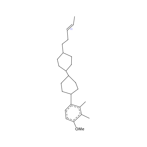 C/C=C/CCC1CCC(C2CCC(c3ccc(OC)c(C)c3C)CC2)CC1